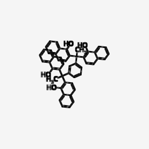 CC(c1cccc(C(C)(c2ccc3ccccc3c2O)c2ccc3ccccc3c2O)c1)(c1ccc2ccccc2c1O)c1ccc2ccccc2c1O